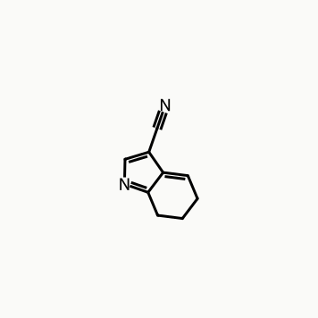 N#CC1=CN=C2CCCC=C12